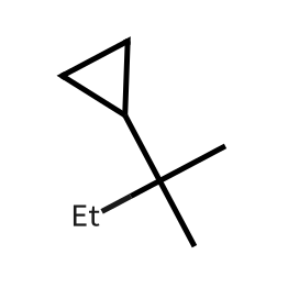 CCC(C)(C)C1CC1